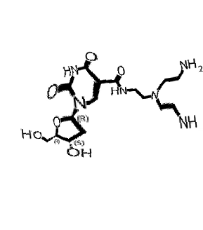 NCCN(CCN)CCNC(=O)c1cn([C@H]2C[C@H](O)[C@@H](CO)O2)c(=O)[nH]c1=O